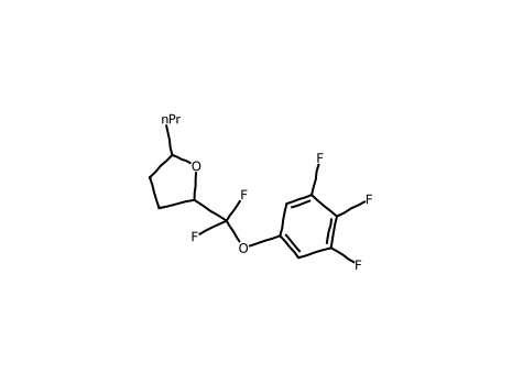 CCCC1CCC(C(F)(F)Oc2cc(F)c(F)c(F)c2)O1